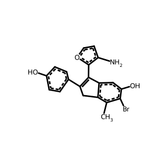 Cc1c(Br)c(O)cc2c1CC(c1ccc(O)cc1)=C2c1occc1N